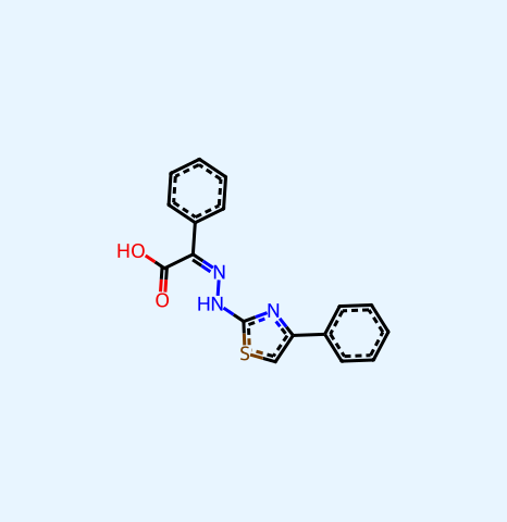 O=C(O)C(=NNc1nc(-c2ccccc2)cs1)c1ccccc1